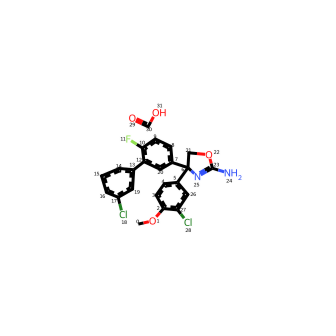 COc1ccc(C2(c3ccc(F)c(-c4cccc(Cl)c4)c3)COC(N)=N2)cc1Cl.O=CO